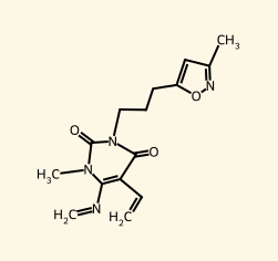 C=Cc1c(N=C)n(C)c(=O)n(CCCc2cc(C)no2)c1=O